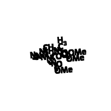 COCC(=O)N1CCN(c2cc(C)nc(-n3ccnc3)n2)C(CC(=O)NC(C)c2ccc(OC)c(OC)c2)C1